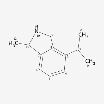 CC(C)c1cccc2c1CNC2C